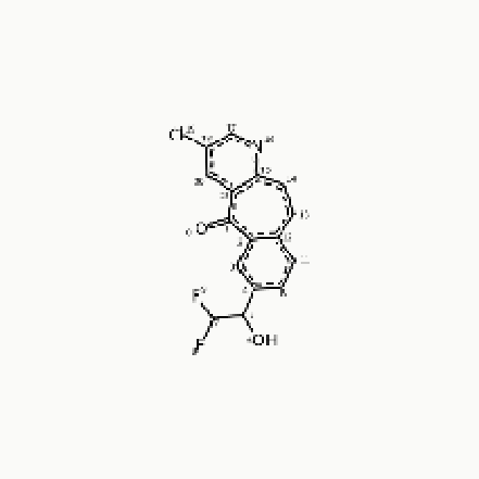 O=c1c2cc(C(O)C(F)F)ccc2ccc2ncc(Cl)cc12